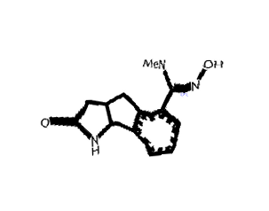 CN/C(=N\O)c1cccc2c1CC1CC(=O)NC21